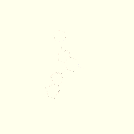 CN1Cc2cc(N3CCOCC3)ccc2C(c2ccc3ccc(F)cc3c2)C1